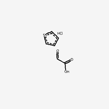 Cl.O=CC(=O)O.c1ccsc1